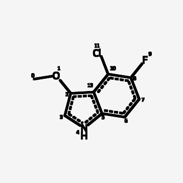 COc1c[nH]c2ccc(F)c(Cl)c12